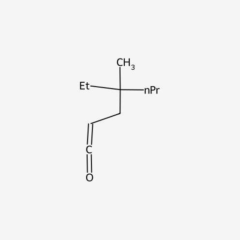 CCCC(C)(CC)CC=C=O